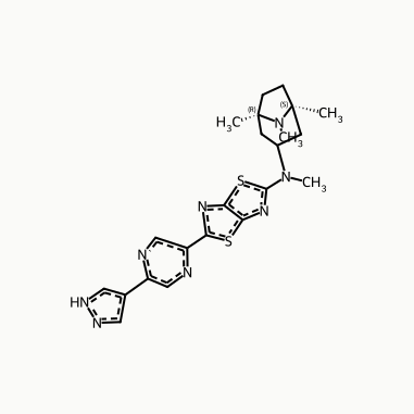 CN(c1nc2sc(-c3cnc(-c4cn[nH]c4)cn3)nc2s1)C1C[C@]2(C)CC[C@](C)(C1)N2C